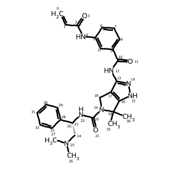 C=CC(=O)Nc1cccc(C(=O)Nc2n[nH]c3c2CN(C(=O)N[C@H](CN(C)C)c2ccccc2)C3(C)C)c1